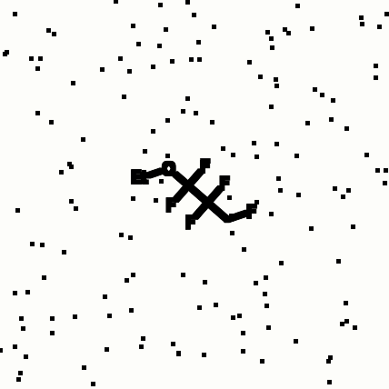 CCOC(F)(F)C(F)(F)CF